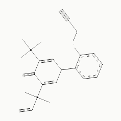 C#CCOc1ccccc1C1C=C(C(C)(C)C)C(=O)C(C(C)(C)C=C)=C1